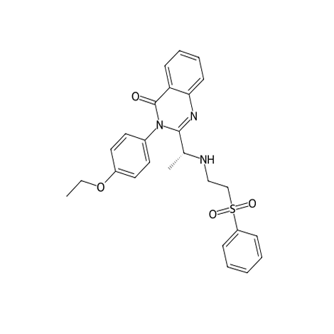 CCOc1ccc(-n2c([C@@H](C)NCCS(=O)(=O)c3ccccc3)nc3ccccc3c2=O)cc1